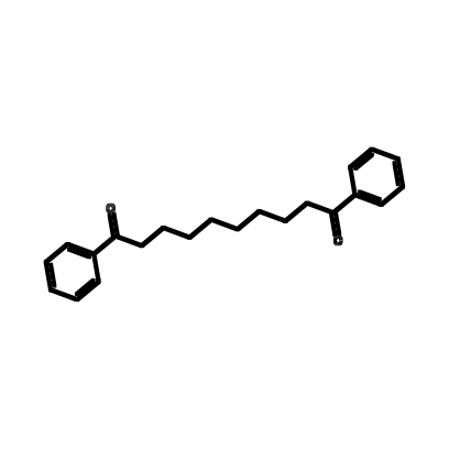 O=C(CCCCCCCCC(=O)c1ccccc1)c1ccccc1